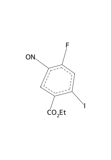 CCOC(=O)c1cc(N=O)c(F)cc1I